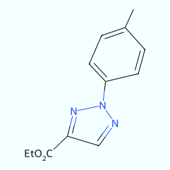 CCOC(=O)c1cnn(-c2ccc(C)cc2)n1